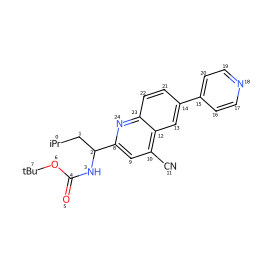 CC(C)CC(NC(=O)OC(C)(C)C)c1cc(C#N)c2cc(-c3ccncc3)ccc2n1